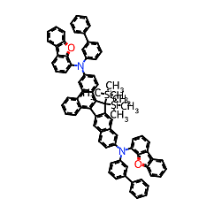 C[Si](C)(C)C1([Si](C)(C)C)c2cc3cc(N(c4cccc(-c5ccccc5)c4)c4cccc5c4oc4ccccc45)ccc3cc2-c2c1c1ccc(N(c3cccc(-c4ccccc4)c3)c3cccc4c3oc3ccccc34)cc1c1ccccc21